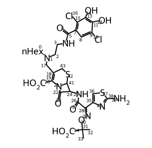 CCCCCCN(CCNC(=O)c1cc(Cl)c(O)c(O)c1Cl)CC1=C(C(=O)O)N2C(=O)C(NC(=O)/C(=N\OC(C)(C)C(=O)O)c3csc(N)n3)C2SC1